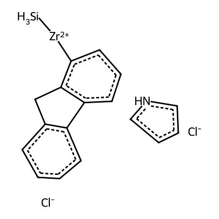 [Cl-].[Cl-].[SiH3][Zr+2][c]1cccc2c1Cc1ccccc1-2.c1cc[nH]c1